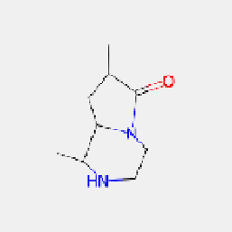 CC1CC2C(C)NCCN2C1=O